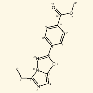 CCc1ncc2oc(-c3ccc(C(=O)OC)cc3)nn12